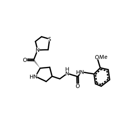 COc1ccccc1NC(=O)NCC1CN[C@H](C(=O)N2CCSC2)C1